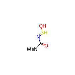 CNC(=O)/N=[SH]/O